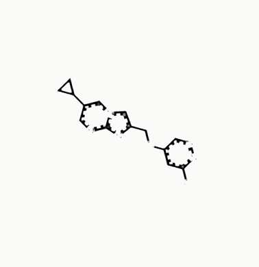 Clc1cc(OCc2cn3cc(C4CC4)cnc3n2)cnn1